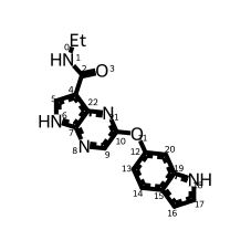 CCNC(=O)c1c[nH]c2ncc(Oc3ccc4cc[nH]c4c3)nc12